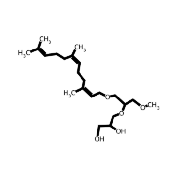 COCC(COCC=C(C)CCC=C(C)CCC=C(C)C)OCC(O)CO